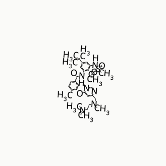 COc1c(NC(=O)c2ccc(C)c(Oc3cc(CN(C)CCN(C)C)ncn3)c2)cc(C(C)(C)C)cc1NS(C)(=O)=O